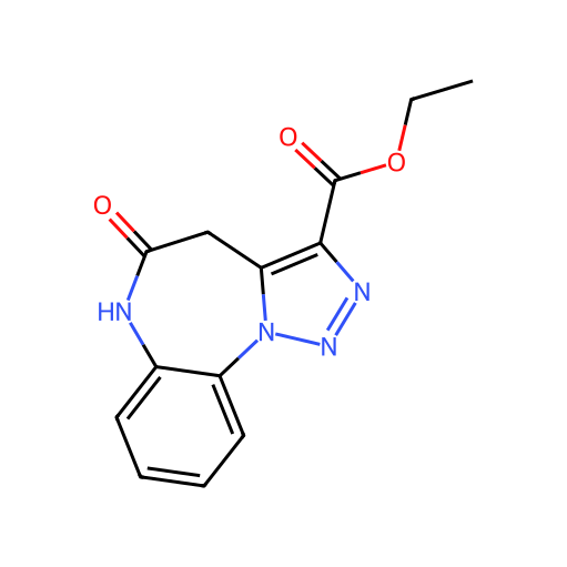 CCOC(=O)c1nnn2c1CC(=O)Nc1ccccc1-2